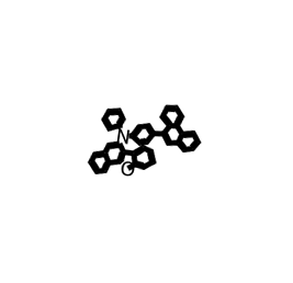 c1ccc(N(c2ccc(-c3cc4ccccc4c4ccccc34)cc2)c2cc3ccccc3c3oc4ccccc4c23)cc1